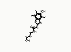 Cc1c(C)c2c(c(C)c1O)CC(CC(=O)NCCCO)O2